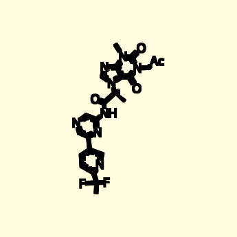 CC(=O)Cn1c(=O)c2c(ncn2[C@@H](C)C(=O)Nc2cncc(-c3ccc(C(C)(F)F)nc3)n2)n(C)c1=O